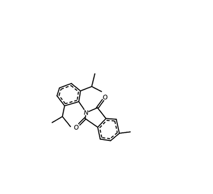 Cc1ccc2c(c1)C(=O)N(c1c(C(C)C)cccc1C(C)C)C2=O